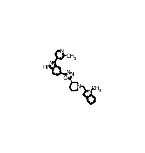 Cc1cc(-c2n[nH]c3ccc(-c4nnc([C@@H]5CCCN(Cc6cc7ccccc7n6C)C5)o4)cc23)ccn1